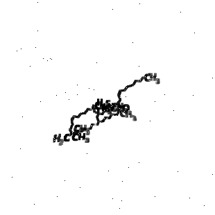 C=C(CC/C=C\CCCCCCC)C(C)(C)CCCCCC(CCCCCC(C)(C)C(=O)CC/C=C\CCCCCCC)CC(=O)CCCN(C)C